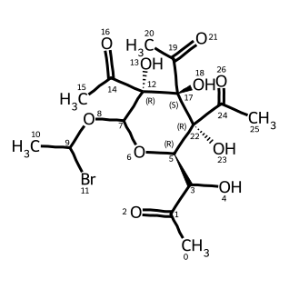 CC(=O)C(O)[C@H]1OC(OC(C)Br)[C@@](O)(C(C)=O)[C@](O)(C(C)=O)[C@@]1(O)C(C)=O